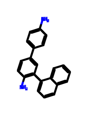 Nc1ccc(-c2ccc(N)c(-c3cccc4ccccc34)c2)cc1